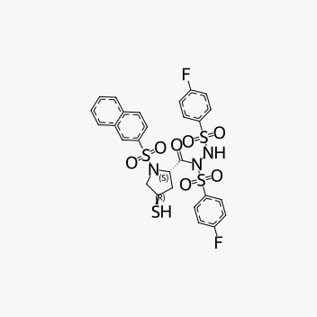 O=C([C@@H]1C[C@@H](S)CN1S(=O)(=O)c1ccc2ccccc2c1)N(NS(=O)(=O)c1ccc(F)cc1)S(=O)(=O)c1ccc(F)cc1